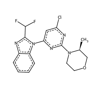 C[C@H]1COCCN1c1nc(Cl)cc(-n2c(C(F)F)nc3ccccc32)n1